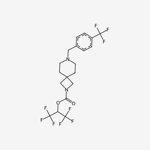 O=C(OC(C(F)(F)F)C(F)(F)F)N1CC2(CCN(Cc3ccc(C(F)(F)F)cc3)CC2)C1